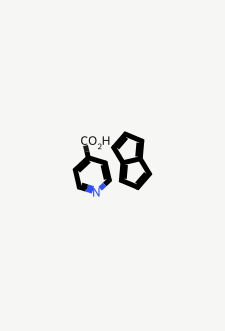 C1=CC2=CC=CC2=C1.O=C(O)c1ccncc1